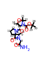 CC1N(CC(N)=O)C(=O)C12CCCN2C(=O)[C@@H]1[C@@H](C)OC(C)(C)N1C(=O)OC(C)(C)C